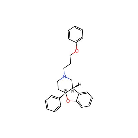 c1ccc(OCCCN2CC[C@@]3(c4ccccc4)Oc4ccccc4[C@H]3C2)cc1